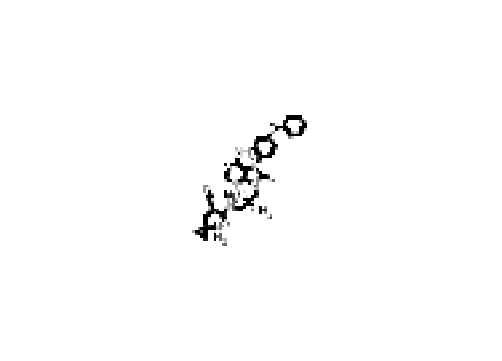 CC(C)(CNC(=O)/C(C#N)=C\C1(N)CC1)Cn1c(=O)n(-c2ccc(Oc3ccccc3)cc2)c2c(N)ncnc21